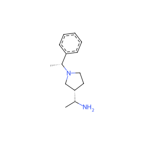 CC(N)[C@H]1CCN([C@H](C)c2ccccc2)C1